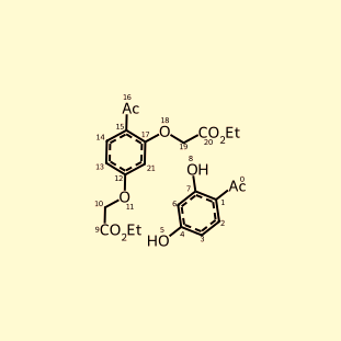 CC(=O)c1ccc(O)cc1O.CCOC(=O)COc1ccc(C(C)=O)c(OCC(=O)OCC)c1